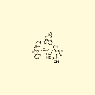 CCOCCn1c(CN2CCN(Cc3nc4cccnc4n3Cc3ccc(C)o3)CC2)nc2cccnc21.O=C(O)C=CC(=O)O.O=C(O)C=CC(=O)O